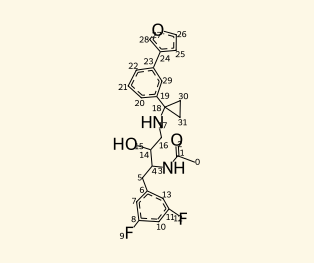 CC(=O)NC(Cc1cc(F)cc(F)c1)C(O)CNC1(c2cccc(-c3ccoc3)c2)CC1